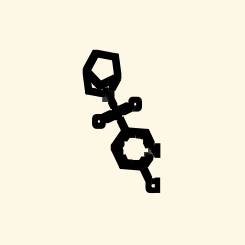 O=S(=O)(c1ccc(Cl)nc1)N1CC2CCC1C2